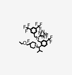 CCOCC1(F)CCN(C(c2ccc(C(F)(F)F)cc2CN(Cc2cc(C(F)(F)F)cc(C(F)(F)F)c2)c2nnn(C)n2)C(C)C)CC1